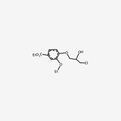 CCOC(=O)c1ccc(OCC(O)CCl)c(OCC)c1